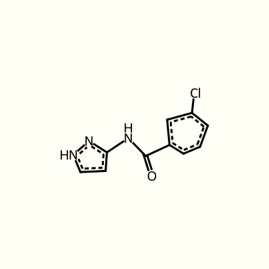 O=C(Nc1cc[nH]n1)c1cccc(Cl)c1